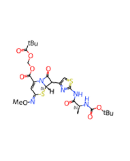 CON=C1C=C(C(=O)OCOC(=O)C(C)(C)C)N2C(=O)C(c3csc(NC(=O)[C@H](C)NC(=O)OC(C)(C)C)n3)[C@@H]2S1